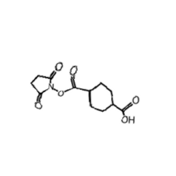 O=C(O)C1CCC(C(=O)ON2C(=O)CCC2=O)CC1